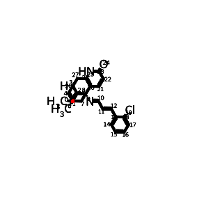 C/C=C1\[C@H]2C=C(C)C[C@]1(N=CC=Cc1ccccc1Cl)c1ccc(=O)[nH]c1C2